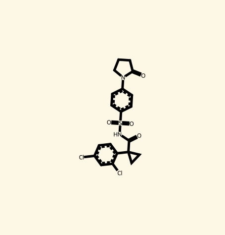 O=C1CCCN1c1ccc(S(=O)(=O)NC(=O)C2(c3ccc(Cl)cc3Cl)CC2)cc1